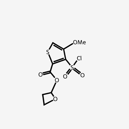 COc1csc(C(=O)OC2CCO2)c1S(=O)(=O)Cl